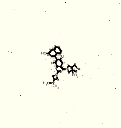 CN(C)C1CN(c2nc(N3CC4CNCC4(C)C3)c3cc(Cl)c(-c4cc(O)cc5ccccc45)c(F)c3n2)C1